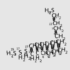 C=C.C=C.C=C.C=C.C=C.C=C.C=C.C=C.S.S.S.S